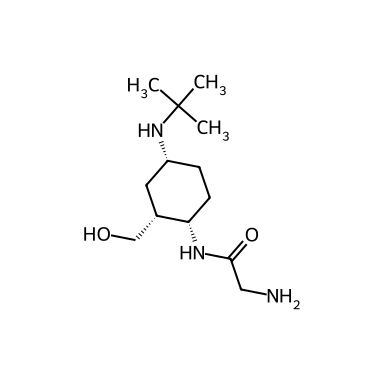 CC(C)(C)N[C@@H]1CC[C@H](NC(=O)CN)[C@H](CO)C1